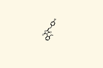 CCc1ccccc1N1C(=O)OC(=CCc2ccc(Br)cc2)C1=O